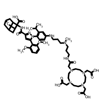 COc1cccc(OC)c1-c1cc(C(=O)NC2(C(=O)O)C3CC4CC5CC2C53C4)nn1-c1ccc(NCCCN(C)CCCNC(=O)CN2CCN(CC(=O)O)CCN(CC(=O)O)CCN(CC(=O)O)CC2)cc1C(C)C